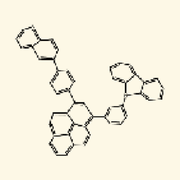 c1cc(-c2cc(-c3ccc(-c4ccc5ncccc5c4)cc3)c3ccc4cccc5ccc2c3c45)cc(-n2c3ccccc3c3ccccc32)c1